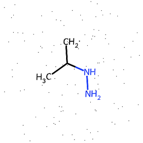 [CH2]C(C)NN